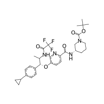 CC(NC(=O)C(F)(F)F)[C@H](Oc1ccc(C(=O)N[C@H]2CCCN(C(=O)OC(C)(C)C)C2)nc1)c1ccc(C2CC2)cc1